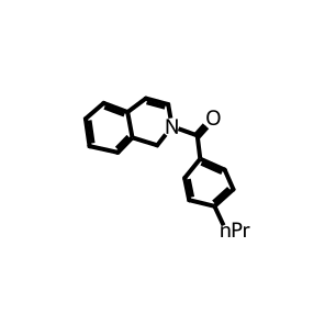 CCCc1ccc(C(=O)N2C=Cc3ccccc3C2)cc1